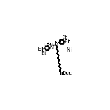 CCCCCCCCCCCCCCCCCCCCCCC(=N\c1ccc(CC)c(CC)c1)/C(CCCC)=N/c1ccc(CC)c(CC)c1.[Ni]